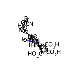 N#C[C@H]1CC(F)(F)CN1C(=O)CNC(=O)c1ccnc2ccc(OCCCN3CCN(C(=O)CCN/N=C\C(C/C=N/NCN/N=C/c4ccc(I)cc4)NC(=O)CN4CCN(CC(=O)O)CCN(CC(=O)O)CCN(CC(=O)O)CC4)CC3)cc12